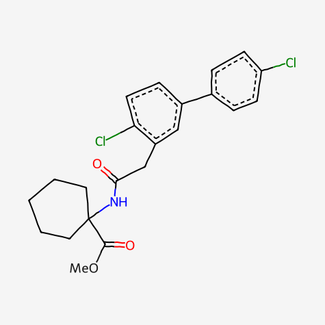 COC(=O)C1(NC(=O)Cc2cc(-c3ccc(Cl)cc3)ccc2Cl)CCCCC1